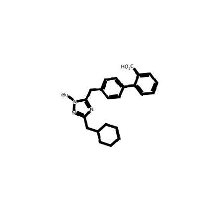 CCC(C)n1nc(CC2CCCCC2)nc1Cc1ccc(-c2ccccc2C(=O)O)cc1